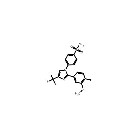 CSc1cc(-c2nc(C(F)(F)F)cn2-c2ccc(S(C)(=O)=O)cc2)ccc1F